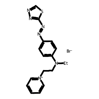 CCN(CC[n+]1ccccc1)c1ccc(/N=N/c2nncs2)cc1.[Br-]